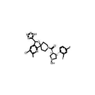 Cc1nc2c(cc1Cl)C(c1nnn[nH]1)OC21CCN(C(=O)[C@@H]2CN(C(C)(C)C)C[C@H]2c2ccc(F)cc2F)CC1